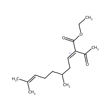 CCOC(=O)/C(=C/CC(C)CCC=C(C)C)C(C)=O